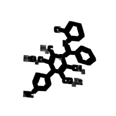 CCOC(=O)C1=C(C)N(C(=Nc2ccccc2Cl)c2ccccc2)C(C)=C(C(=O)OCC)C1c1ccc(C#N)cc1